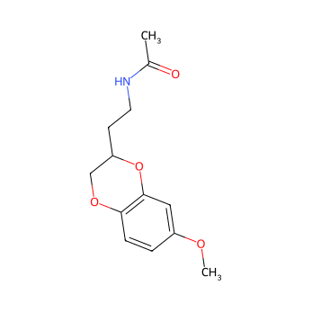 COc1ccc2c(c1)OC(CCNC(C)=O)CO2